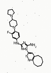 Nc1nc(Nc2ccc(N3CCC(N4CCCC4)CC3)c(F)c2)nn1-c1cc2c(nn1)CCCCCC2